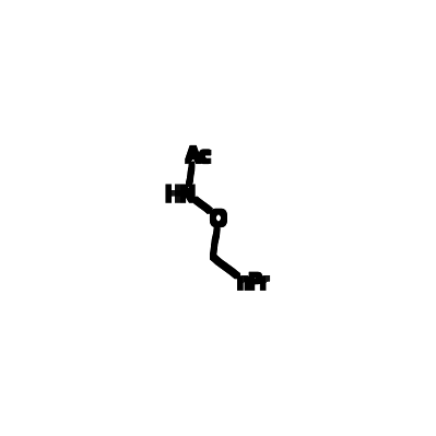 CCCCONC(C)=O